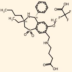 CCCC[C@]1(CC)CS(=O)(=O)c2cc(CNCCCC(=O)O)c(OC)cc2[C@@H](c2ccccc2)N1.O=C(O)C(F)(F)F